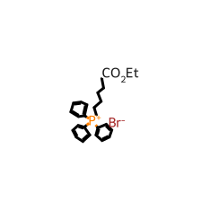 CCOC(=O)CCCCCC[P+](c1ccccc1)(c1ccccc1)c1ccccc1.[Br-]